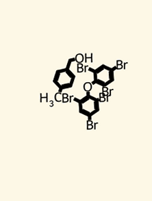 Brc1cc(Br)c(Oc2c(Br)cc(Br)cc2Br)c(Br)c1.Cc1ccc(CO)cc1